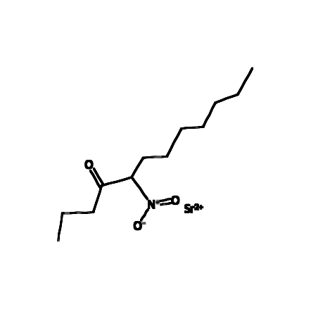 CCCCCCCC(C(=O)CCC)[N+](=O)[O-].[Sr+2]